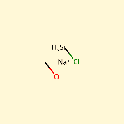 C[O-].[Na+].[SiH3]Cl